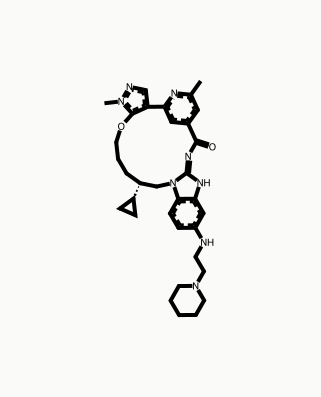 Cc1cc2cc(n1)-c1cnn(C)c1OCCC[C@@H](C1CC1)CN1/C(=N/C2=O)Nc2cc(NCCN3CCCCC3)ccc21